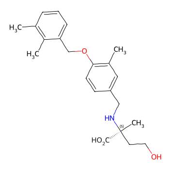 Cc1cc(CN[C@@](C)(CCO)C(=O)O)ccc1OCc1cccc(C)c1C